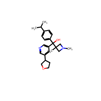 CC(C)c1ccc(C(O)(c2cncc(C3CCOC3)c2)C2(C)CN(C)C2)cc1